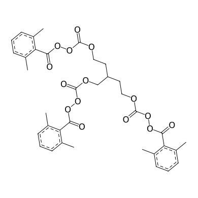 Cc1cccc(C)c1C(=O)OOC(=O)OCCC(CCOC(=O)OOC(=O)c1c(C)cccc1C)COC(=O)OOC(=O)c1c(C)cccc1C